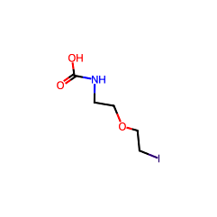 O=C(O)NCCOCCI